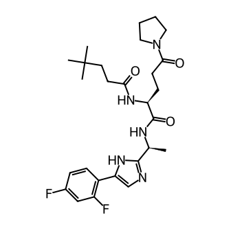 C[C@H](NC(=O)[C@H](CCC(=O)N1CCCC1)NC(=O)CCC(C)(C)C)c1ncc(-c2ccc(F)cc2F)[nH]1